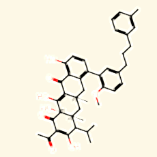 COc1ccc(CCCc2cccc(C)c2)cc1-c1ccc(O)c2c1C[C@]1(C)C[C@]3(C)C(C(C)C)C(O)=C(C(C)=O)C(=O)[C@]3(O)C(O)=C1C2=O